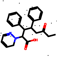 CCC(=O)CC(c1ccccc1)C(c1ccccc1)C(C(=O)O)N1CC=CC=N1